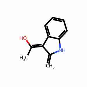 C=c1[nH]c2ccccc2/c1=C(/C)O